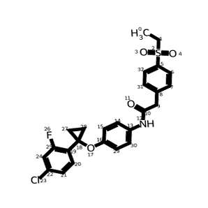 CCS(=O)(=O)c1ccc(CC(=O)Nc2ccc(OC3(c4ccc(Cl)cc4F)CC3)cc2)cc1